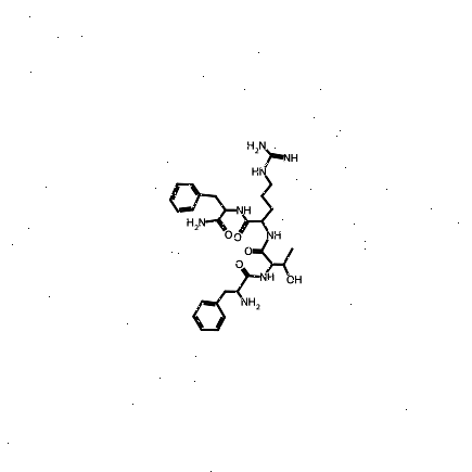 CC(O)C(NC(=O)C(N)Cc1ccccc1)C(=O)NC(CCCNC(=N)N)C(=O)NC(Cc1ccccc1)C(N)=O